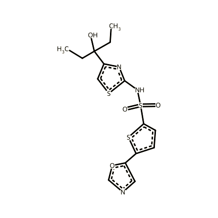 CCC(O)(CC)c1csc(NS(=O)(=O)c2ccc(-c3cnco3)s2)n1